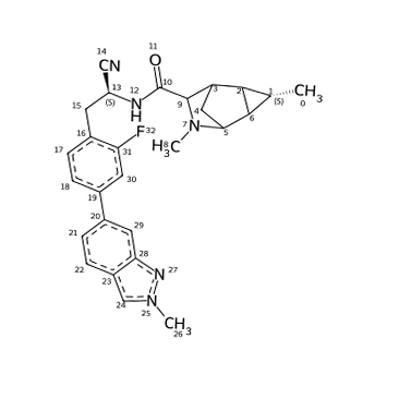 C[C@H]1C2C3CC(C21)N(C)C3C(=O)N[C@H](C#N)Cc1ccc(-c2ccc3cn(C)nc3c2)cc1F